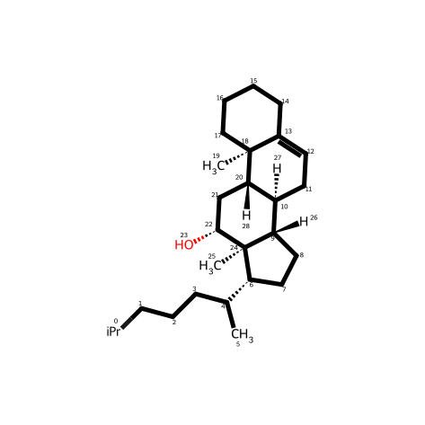 CC(C)CCCC(C)[C@H]1CC[C@H]2[C@@H]3CC=C4CCCC[C@]4(C)[C@H]3C[C@@H](O)[C@]12C